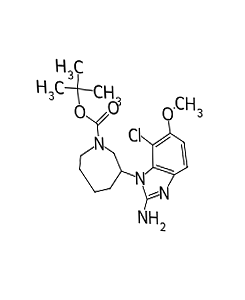 COc1ccc2nc(N)n(C3CCCCN(C(=O)OC(C)(C)C)C3)c2c1Cl